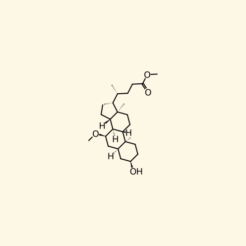 COC(=O)CC[C@@H](C)[C@H]1CC[C@H]2[C@@H]3[C@H](OC)C[C@@H]4C[C@H](O)CC[C@]4(C)[C@H]3CC[C@]12C